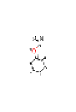 N#CCOC1=CCCC=C1